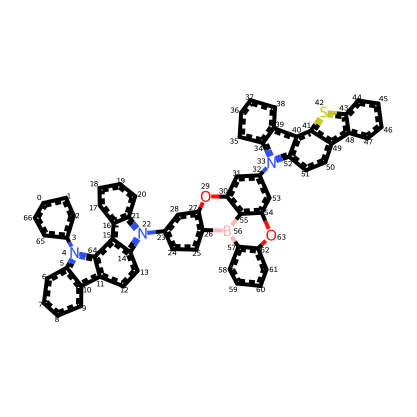 c1ccc(-n2c3ccccc3c3ccc4c(c5ccccc5n4-c4ccc5c(c4)Oc4cc(-n6c7ccccc7c7c8sc9ccccc9c8ccc76)cc6c4B5c4ccccc4O6)c32)cc1